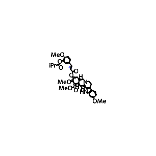 COC(=O)[C@H]1[C@H]2C[C@@H]3c4[nH]c5cc(OC)ccc5c4CCN3C[C@H]2C[C@@H](OC(=O)/C=C/c2ccc(OC)c(OC(=O)C(C)C)c2)[C@@H]1OC